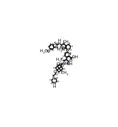 COc1ccc2sc(N/C(N)=C(\C)C3=C(N)N(c4ccc(/C(C=N)=C(\C)NCC56CC7(C)CC8(OCCN9CCNCC9)CC(C)(C5)C768)c(C(=O)O)n4)CCC3)nc2c1